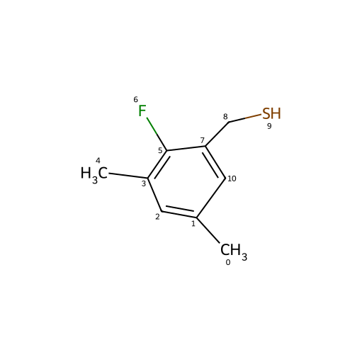 Cc1cc(C)c(F)c(CS)c1